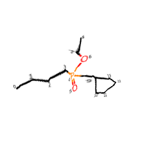 CCCCP(=O)(OCC)C1CCCC1